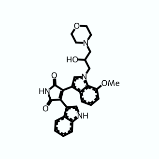 COc1cccc2c(C3=C(c4c[nH]c5ccccc45)C(=O)NC3=O)cn(CC(O)CN3CCOCC3)c12